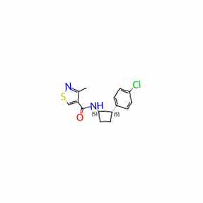 Cc1nscc1C(=O)N[C@H]1CC[C@H]1c1ccc(Cl)cc1